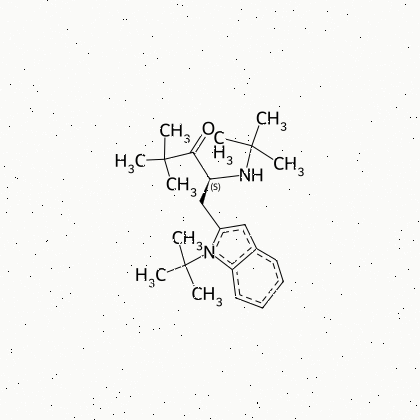 CC(C)(C)N[C@@H](Cc1cc2ccccc2n1C(C)(C)C)C(=O)C(C)(C)C